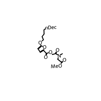 CCCCCCCCCCCCCCOc1ccc(C(=O)OCC(=O)N(C)CC(=O)OC)o1